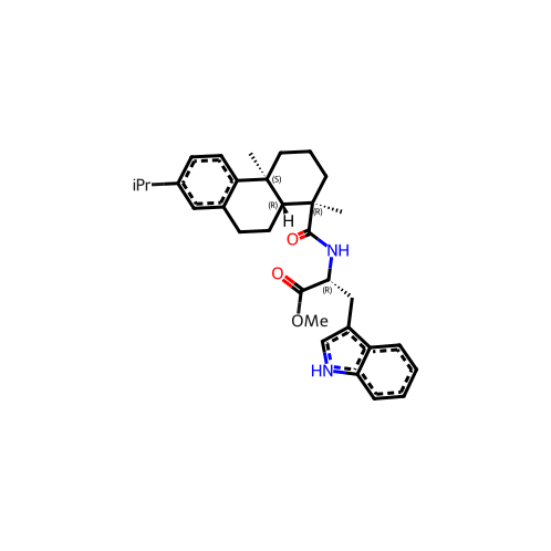 COC(=O)[C@@H](Cc1c[nH]c2ccccc12)NC(=O)[C@]1(C)CCC[C@]2(C)c3ccc(C(C)C)cc3CC[C@@H]12